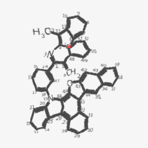 C=C(/C(=N\c1oc2ccccc2c1C)c1cccc(-n2c3ccccc3c3c4ccccc4c4c5cc6ccccc6cc5oc4c32)c1)c1ccccc1